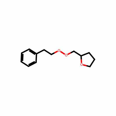 c1ccc(CCOOCC2CCCO2)cc1